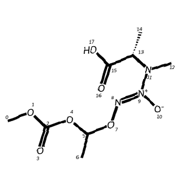 COC(=O)OC(C)O/N=[N+](\[O-])N(C)[C@@H](C)C(=O)O